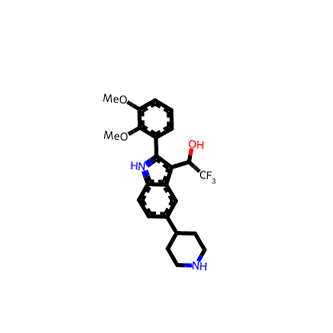 COc1cccc(-c2[nH]c3ccc(C4CCNCC4)cc3c2C(O)C(F)(F)F)c1OC